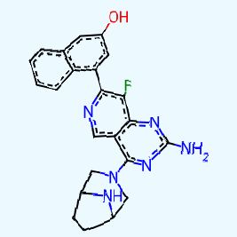 Nc1nc(N2CC3CCC(C2)N3)c2cnc(-c3cc(O)cc4ccccc34)c(F)c2n1